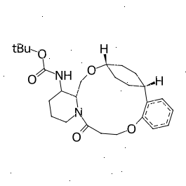 CC(C)(C)OC(=O)NC1CCCN2C(=O)CCOc3ccccc3[C@H]3CC[C@H](CC3)OCC12